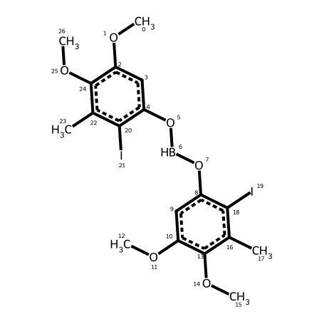 COc1cc(OBOc2cc(OC)c(OC)c(C)c2I)c(I)c(C)c1OC